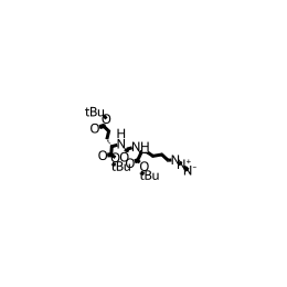 CC(C)(C)OC(=O)CC[C@H](NC(=O)N[C@@H](CCCCN=[N+]=[N-])C(=O)OC(C)(C)C)C(=O)OC(C)(C)C